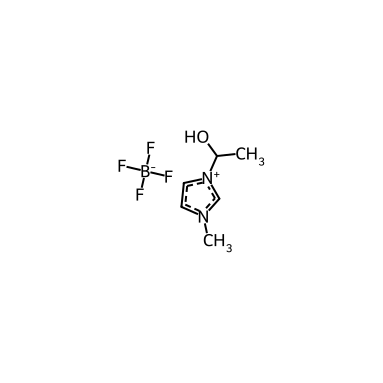 CC(O)[n+]1ccn(C)c1.F[B-](F)(F)F